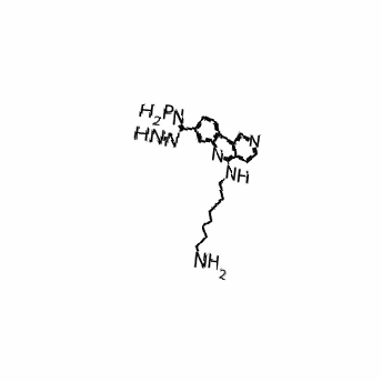 N=N/C(=N\P)c1ccc2c(c1)nc(NCCCCCCCN)c1ccncc12